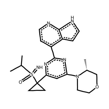 CC(C)S(=N)(=O)C1(c2cc(N3CCOC[C@H]3C)nc(-c3ccnc4[nH]ccc34)n2)CC1